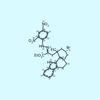 CCOC(=O)C(CC1(CC)CCC[N+]2=C1c1[nH]c3ccccc3c1CC2)=NNc1ccc([N+](=O)[O-])cc1[N+](=O)[O-].[Br-]